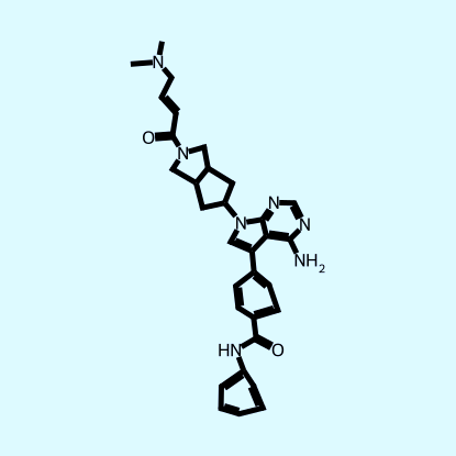 CN(C)CC=CC(=O)N1CC2CC(n3cc(-c4ccc(C(=O)Nc5ccccc5)cc4)c4c(N)ncnc43)CC2C1